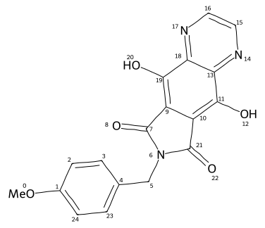 COc1ccc(CN2C(=O)c3c(c(O)c4nccnc4c3O)C2=O)cc1